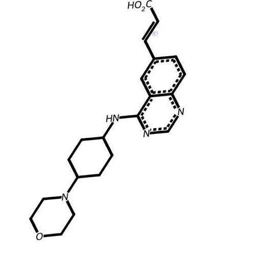 O=C(O)/C=C/c1ccc2ncnc(NC3CCC(N4CCOCC4)CC3)c2c1